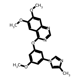 COc1cc(Oc2ncnc3cc(OC)c(OC)cc23)cc(-n2cnc(C)c2)c1